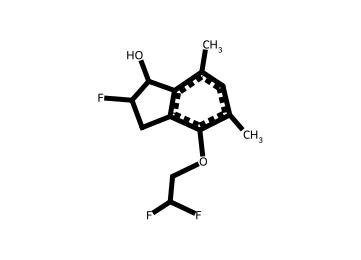 Cc1cc(C)c2c(c1OCC(F)F)CC(F)C2O